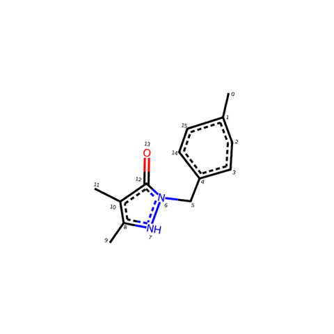 Cc1ccc(Cn2[nH]c(C)c(C)c2=O)cc1